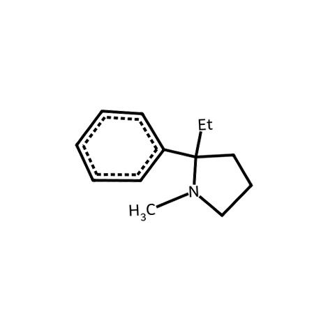 CCC1(c2ccccc2)CCCN1C